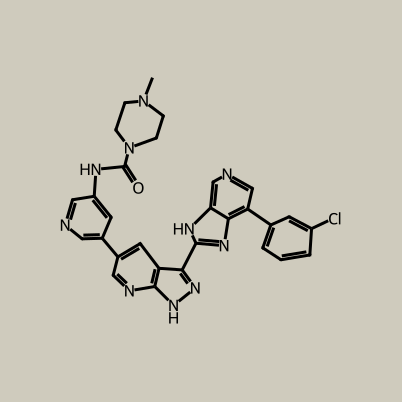 CN1CCN(C(=O)Nc2cncc(-c3cnc4[nH]nc(-c5nc6c(-c7cccc(Cl)c7)cncc6[nH]5)c4c3)c2)CC1